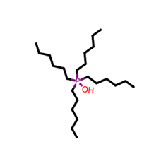 CCCCCCP(O)(CCCCCC)(CCCCCC)CCCCCC